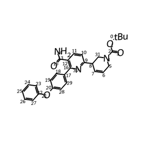 CC(C)(C)OC(=O)N1CC=CC(c2ccc(C(N)=O)c(-c3ccc(Oc4ccccc4)cc3)n2)C1